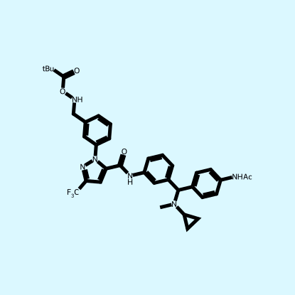 CC(=O)Nc1ccc(C(c2cccc(NC(=O)c3cc(C(F)(F)F)nn3-c3cccc(CNOC(=O)C(C)(C)C)c3)c2)N(C)C2CC2)cc1